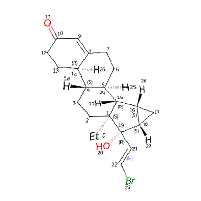 CC[C@]12CC[C@H]3[C@@H](CCC4=CC(=O)CC[C@@H]43)[C@@H]1[C@@H]1C[C@@H]1[C@@]2(O)/C=C/Br